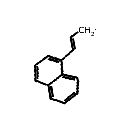 [CH2]/C=C/c1cccc2ccccc12